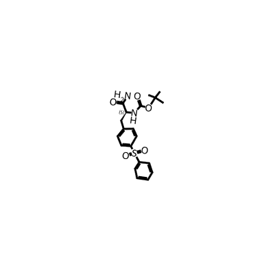 CC(C)(C)OC(=O)N[C@@H](Cc1ccc(S(=O)(=O)c2ccccc2)cc1)C(N)=O